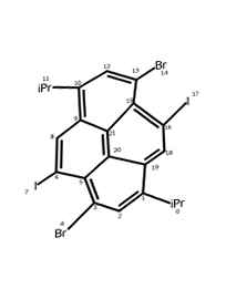 CC(C)c1cc(Br)c2c(I)cc3c(C(C)C)cc(Br)c4c(I)cc1c2c34